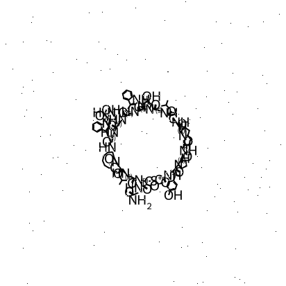 CC(C)C[C@@H]1NC(=O)C2CCCCCCC(NC(=O)[C@H](Cc3cn(CC(=O)O)c4ccccc34)NC(=O)[C@H](CCN)NC(=O)[C@H](Cc3c[nH]c4ccccc34)NC(=O)[C@@H]3C[C@@H](O)CN3C(=O)[C@H](CC(C)C)NC(=O)CNC(=O)[C@H]3CCC4CC[C@@H](NC(=O)[C@@H]5CCCN5C(=O)[C@H](Cc5ccc(O)cc5)NC(=O)C[S+]([O-])C[C@@H](C(=O)NCC(N)=O)N(C)C1=O)C(=O)N43)C(=O)N2C